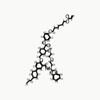 C=CC(=O)OCCCCCCOc1ccc(OC(=O)C2CCC(COc3ccc(C4CCC(CCC)CC4)cc3/C=N/N(CCOCCOC)c3nc4ccccc4s3)CC2)cc1